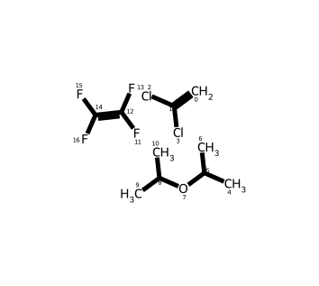 C=C(Cl)Cl.CC(C)OC(C)C.FC(F)=C(F)F